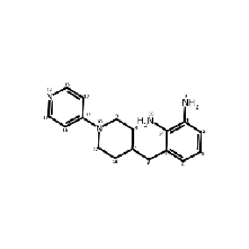 Nc1cccc(CC2CCN(c3ccncc3)CC2)c1N